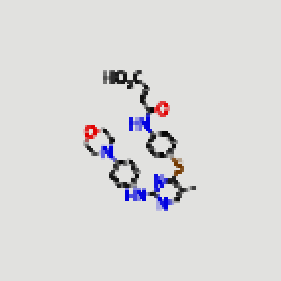 Cc1cnc(Nc2ccc(N3CCOCC3)cc2)nc1Sc1ccc(NC(=O)C=CC(=O)O)cc1